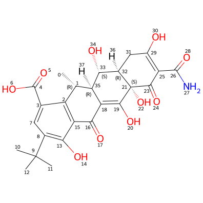 C[C@H]1c2c(C(=O)O)cc(C(C)(C)C)c(O)c2C(=O)C2=C(O)[C@]3(O)C(=O)C(C(N)=O)=C(O)C[C@@H]3[C@@H](O)[C@@H]21